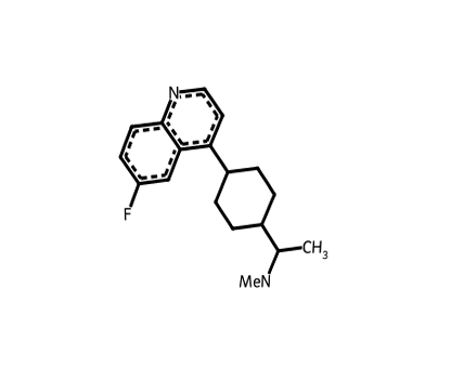 CNC(C)C1CCC(c2ccnc3ccc(F)cc23)CC1